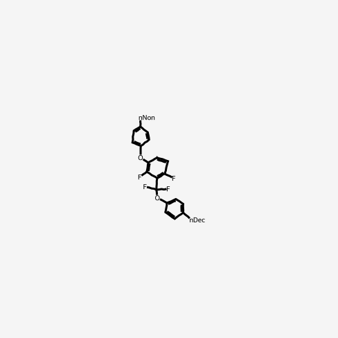 CCCCCCCCCCc1ccc(OC(F)(F)c2c(F)c[c]c(Oc3ccc(CCCCCCCCC)cc3)c2F)cc1